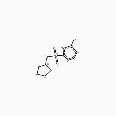 Cc1cccc(S(=O)(=O)OC2CCCC2)c1